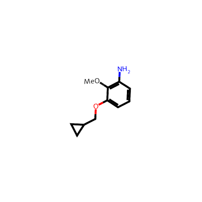 COc1c(N)cccc1OCC1CC1